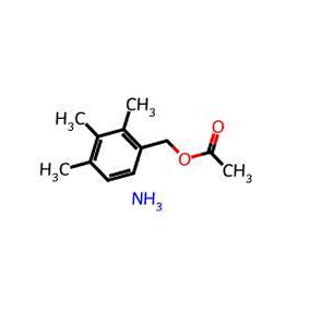 CC(=O)OCc1ccc(C)c(C)c1C.N